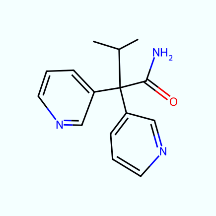 CC(C)C(C(N)=O)(c1cccnc1)c1cccnc1